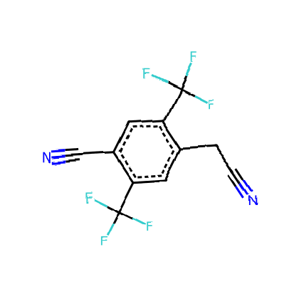 N#CCc1cc(C(F)(F)F)c(C#N)cc1C(F)(F)F